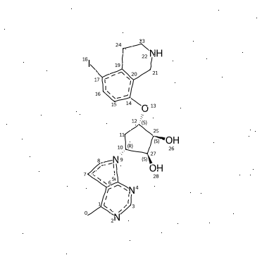 Cc1ncnc2c1ccn2[C@@H]1C[C@H](Oc2ccc(I)c3c2CNCC3)[C@@H](O)[C@H]1O